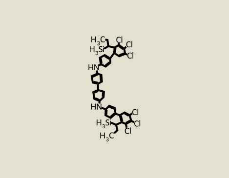 CCC([SiH3])c1c(-c2ccc(Nc3ccc(-c4ccc(Nc5ccc(-c6cc(Cl)c(Cl)c(Cl)c6C([SiH3])CC)cc5)cc4)cc3)cc2)cc(Cl)c(Cl)c1Cl